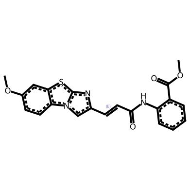 COC(=O)c1ccccc1NC(=O)/C=C/c1cn2c(n1)sc1cc(OC)ccc12